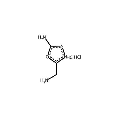 Cl.Cl.NCc1nnc(N)o1